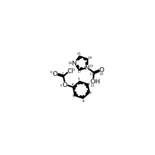 O=C(Cl)Oc1ccccc1.O=C(O)n1ccnc1